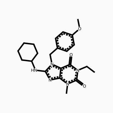 CCn1c(=O)c2c(nc(NC3CCCCC3)n2Cc2ccc(OC)cc2)n(C)c1=O